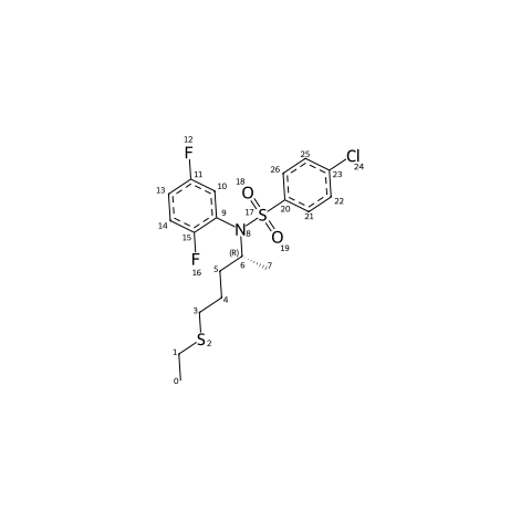 CCSCCC[C@@H](C)N(c1cc(F)ccc1F)S(=O)(=O)c1ccc(Cl)cc1